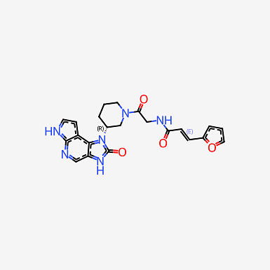 O=C(/C=C/c1ccco1)NCC(=O)N1CCC[C@@H](n2c(=O)[nH]c3cnc4[nH]ccc4c32)C1